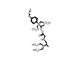 CC(CNCC(=O)OCC(C)[N+](CC(=O)O)(CC(=O)O)c1ccc(N=C=S)cc1)N(CC(=O)O)CC(=O)O